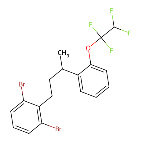 CC(CCc1c(Br)cccc1Br)c1ccccc1OC(F)(F)C(F)F